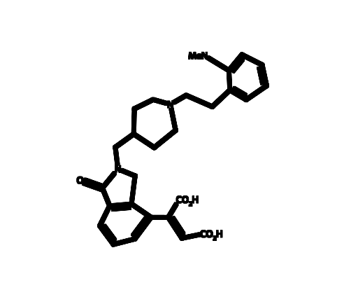 CNc1ccccc1CCN1CCC(CN2Cc3c(cccc3/C(=C/C(=O)O)C(=O)O)C2=O)CC1